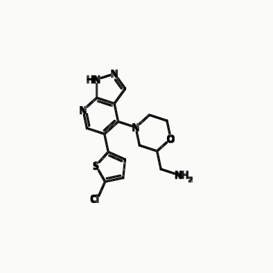 NCC1CN(c2c(-c3ccc(Cl)s3)cnc3[nH]ncc23)CCO1